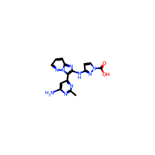 Cc1nc(N)cc(-c2c(Nc3ccn(C(=O)O)n3)nc3cccnn23)n1